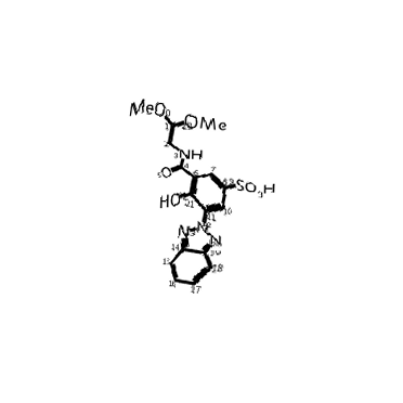 COC(CNC(=O)c1cc(S(=O)(=O)O)cc(-n2nc3ccccc3n2)c1O)OC